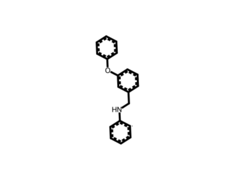 [c]1ccccc1NCc1cccc(Oc2ccccc2)c1